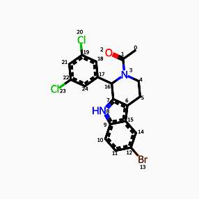 CC(=O)N1CCc2c([nH]c3ccc(Br)cc23)C1c1cc(Cl)cc(Cl)c1